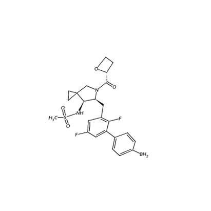 Bc1ccc(-c2cc(F)cc(C[C@H]3[C@@H](NS(C)(=O)=O)C4(CC4)CN3C(=O)[C@H]3CCO3)c2F)cc1